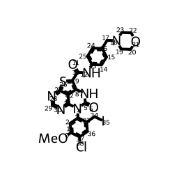 COc1cc(N2C(=O)Nc3c(C(=O)Nc4ccc(CN5CCOCC5)cc4)sc4ncnc2c34)c(CI)cc1Cl